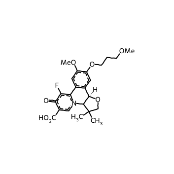 COCCCOc1cc2c(cc1OC)-c1c(F)c(=O)c(C(=O)O)cn1C1[C@@H]2OCC1(C)C